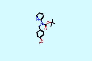 COc1ccc(CN(C(=O)OC(C)(C)C)c2c[c]ccn2)cc1